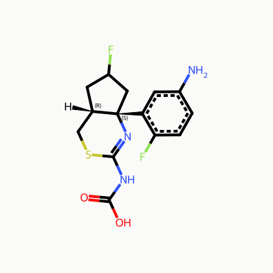 Nc1ccc(F)c([C@]23CC(F)C[C@H]2CSC(NC(=O)O)=N3)c1